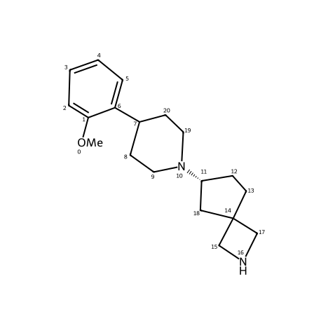 COc1ccccc1C1CCN([C@@H]2CCC3(CNC3)C2)CC1